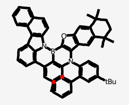 Cc1cc2c3c(c1)N(c1ccc(C(C)(C)C)cc1-c1ccccc1)c1c(oc4cc5c(cc14)C(C)(C)CCC5(C)C)B3n1c3ccc4ccccc4c3c3cccc-2c31